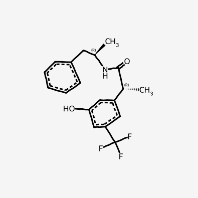 C[C@H](Cc1ccccc1)NC(=O)[C@H](C)c1cc(O)cc(C(F)(F)F)c1